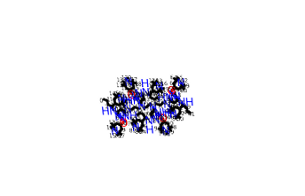 CCCC(NC1=NN(OC2CC(C)(C)N(C)C(C)(C)C2)NC(NCCCN(CCN(CCCNC2=CC(NC(CCC)C3CC(C)(C)N(C)C(C)(C)C3)=NN(OC3CC(C)(C)N(C)C(C)(C)C3)N2)C2=CC(NC(CCC)C3CC(C)(C)N(C)C(C)(C)C3)=NN(OC3CC(C)(C)N(C)C(C)(C)C3)N2)C2=CC(NC(CCC)C3CC(C)(C)N(C)C(C)(C)C3)=NN(OC3CC(C)(C)N(C)C(C)(C)C3)N2)=C1)C1CC(C)(C)N(C)C(C)(C)C1